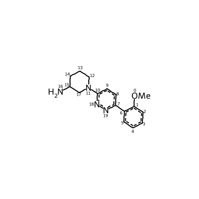 COc1ccccc1-c1ccc(N2CCCC(N)C2)nn1